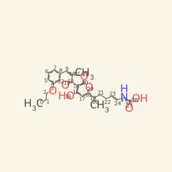 CCCOc1cccc(C=C(C)C(=O)c2c(O)cc(C(C)CCC=CNC(=O)O)oc2=O)c1